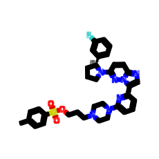 Cc1ccc(S(=O)(=O)OCCCN2CCN(c3cccc(-c4cnc5ccc(N6CCC[C@@H]6c6cccc(F)c6)nn45)n3)CC2)cc1